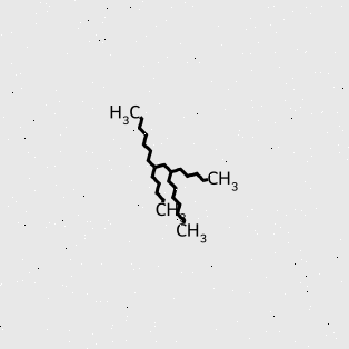 CCCCCCCC(CCCCC)CC(CCCCC)CCCCCCC